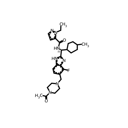 CCn1nccc1C(=O)N[C@H](c1nc2c(F)c(CN3CCN(C(C)=O)CC3)ccc2[nH]1)C1CCC(C)CC1